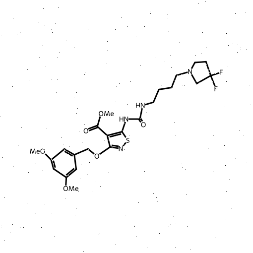 COC(=O)c1c(OCc2cc(OC)cc(OC)c2)nsc1NC(=O)NCCCCN1CCC(F)(F)C1